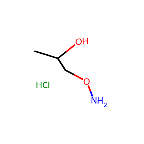 CC(O)CON.Cl